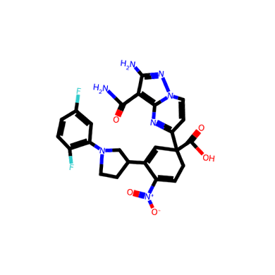 NC(=O)c1c(N)nn2ccc(C3(C(=O)O)C=C(C4CCN(c5cc(F)ccc5F)C4)C([N+](=O)[O-])=CC3)nc12